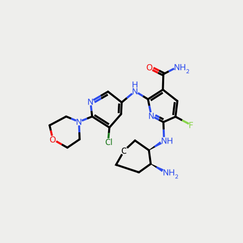 NC(=O)c1cc(F)c(N[C@@H]2CCCC[C@@H]2N)nc1Nc1cnc(N2CCOCC2)c(Cl)c1